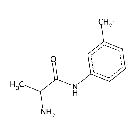 [CH2]c1cccc(NC(=O)C(C)N)c1